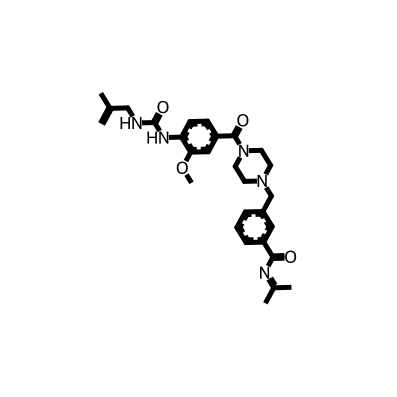 C=C(C)CNC(=O)Nc1ccc(C(=O)N2CCN(Cc3cccc(C(=O)N=C(C)C)c3)CC2)cc1OC